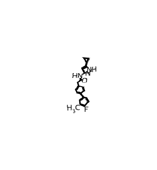 Cc1cc(-c2ccc(CC(=O)Nc3cc(C4CC4)[nH]n3)cc2)ccc1F